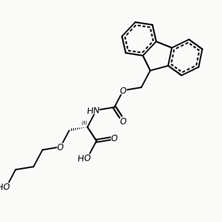 O=C(N[C@@H](COCCCO)C(=O)O)OCC1c2ccccc2-c2ccccc21